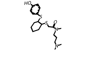 CN(C)CCCN(C)C(=O)CSC1CCCCC1Sc1ccc(O)cc1